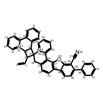 C=CC1C2C(c3ccccc3-c3cccc[n+]32)C12Cc1ccc3c(oc4c(C#N)c(-c5ccccc5)ccc43)c1-c1cccc[n+]12